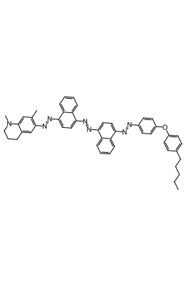 CCCCCc1ccc(Oc2ccc(N=Nc3ccc(N=Nc4ccc(N=Nc5cc6c(cc5C)N(C)CCC6)c5ccccc45)c4ccccc34)cc2)cc1